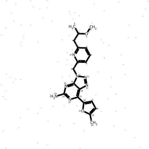 COC(C)Cc1cccc(Cn2nnc3c(-c4ccc(C)o4)nc(N)nc32)n1